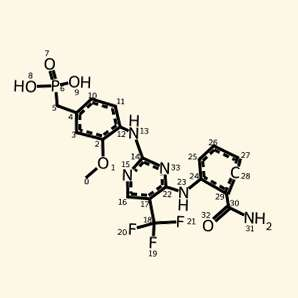 COc1cc(CP(=O)(O)O)ccc1Nc1ncc(C(F)(F)F)c(Nc2ccccc2C(N)=O)n1